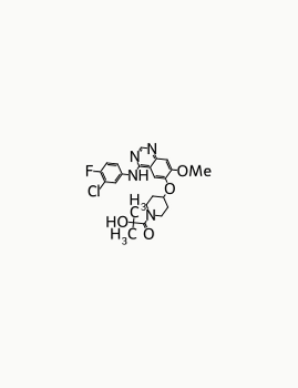 COc1cc2ncnc(Nc3ccc(F)c(Cl)c3)c2cc1OC1CCN(C(=O)C(C)(C)O)CC1